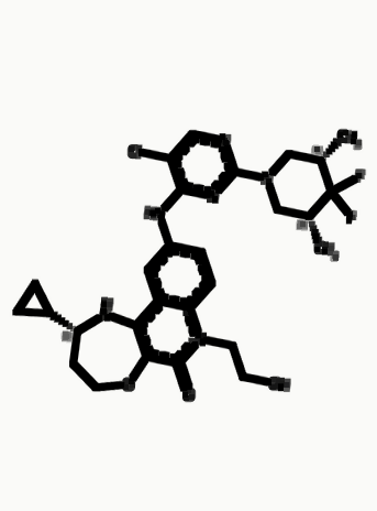 C[C@@H]1CN(c2ncc(Cl)c(Nc3ccc4c(c3)c3c(c(=O)n4CCO)OCC[C@H](C4CC4)N3)n2)C[C@H](C)C1(F)F